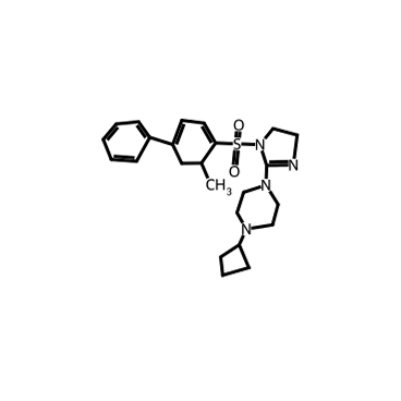 CC1CC(c2ccccc2)=CC=C1S(=O)(=O)N1CCN=C1N1CCN(C2CCC2)CC1